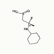 C[C@](F)(CS(=O)O)NC1CCCCC1